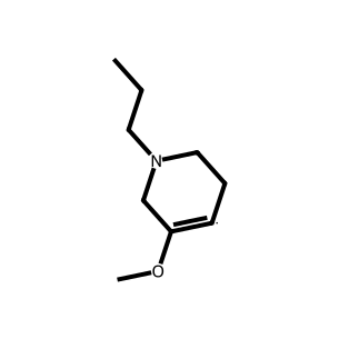 CCCN1CC[C]=C(OC)C1